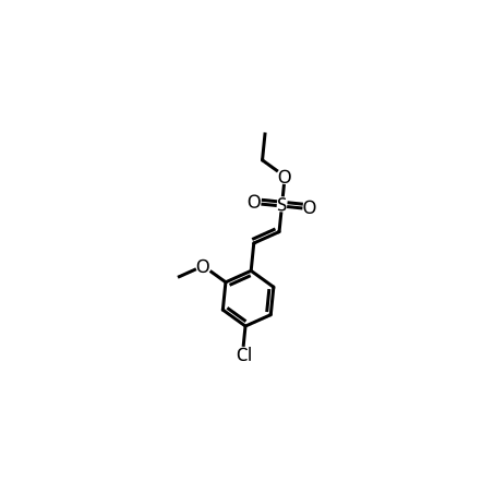 CCOS(=O)(=O)C=Cc1ccc(Cl)cc1OC